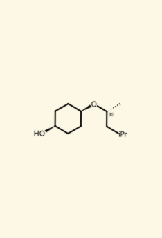 CC(C)C[C@@H](C)O[C@H]1CC[C@@H](O)CC1